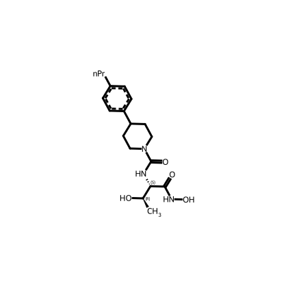 CCCc1ccc(C2CCN(C(=O)N[C@H](C(=O)NO)[C@@H](C)O)CC2)cc1